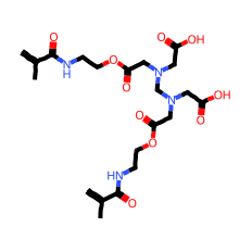 C=C(C)C(=O)NCCOC(=O)CN(CC(=O)O)CN(CC(=O)O)CC(=O)OCCNC(=O)C(=C)C